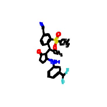 CC(C1=C(Nc2cccc(C(F)F)c2)CCC1=O)c1ccc(C#N)cc1S(C)(=O)=O